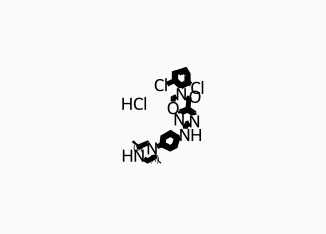 C[C@@H]1CN[C@@H](C)CN1c1ccc(Nc2ncc3c(n2)OCN(c2c(Cl)cccc2Cl)C3=O)cc1.Cl